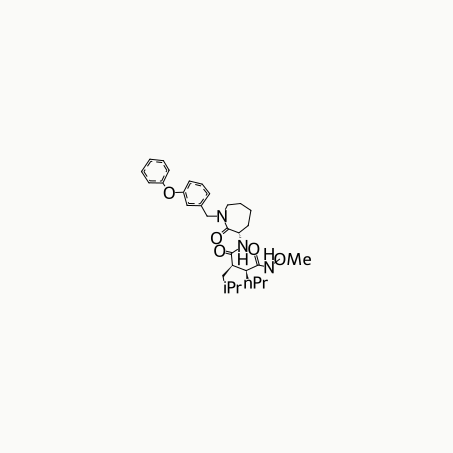 CCC[C@H](C(=O)NOC)[C@@H](CC(C)C)C(=O)N[C@H]1CCCCN(Cc2cccc(Oc3ccccc3)c2)C1=O